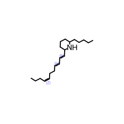 CCC/C=C\CC/C=C/C=C/C1CCCC(CCCCC)N1